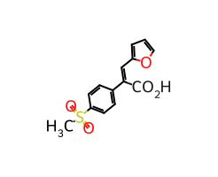 CS(=O)(=O)c1ccc(C(=Cc2ccco2)C(=O)O)cc1